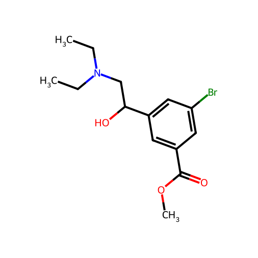 CCN(CC)CC(O)c1cc(Br)cc(C(=O)OC)c1